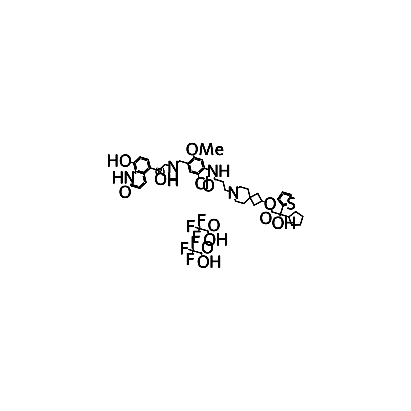 COc1cc(NC(=O)CCN2CCC3(CC2)CC(OC(=O)C(O)(c2cccs2)C2CCCC2)C3)c(Cl)cc1CNC[C@H](O)c1ccc(O)c2[nH]c(=O)ccc12.O=C(O)C(F)(F)F.O=C(O)C(F)(F)F